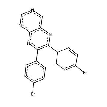 BrC1=CCC(c2nc3cncnc3nc2-c2ccc(Br)cc2)C=C1